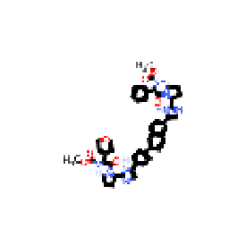 COC(=O)NC(C(=O)N1CCCC1c1ncc(-c2ccc3cc(-c4ccc(-c5cnc(C6CCCN6C(=O)C(NC(=O)OC)C6CCOCC6)[nH]5)cc4)ccc3c2)[nH]1)c1ccccc1